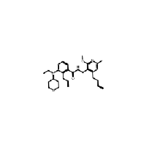 C=CCCc1cc(C)nc(OC)c1CNC(=O)c1cccc(N(CC)C2CCOCC2)c1CC=C